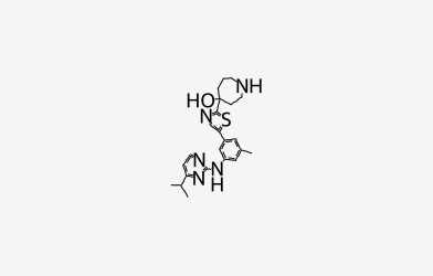 Cc1cc(Nc2nccc(C(C)C)n2)cc(-c2cnc(C3(O)CCCNCC3)s2)c1